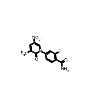 NC(=O)c1ccc(-n2cc([N+](=O)[O-])cc(C(F)(F)F)c2=O)cc1F